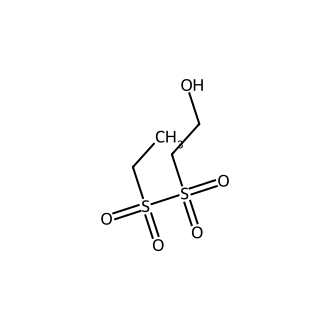 CCS(=O)(=O)S(=O)(=O)CCO